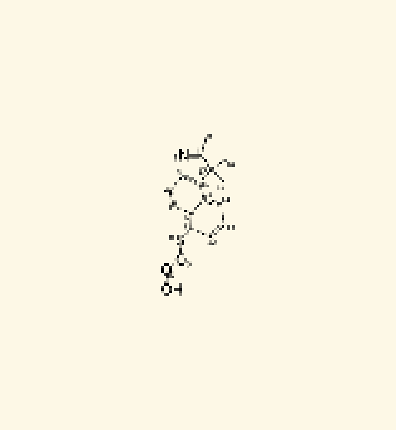 CC1=Nc2ccc3c(SOOO)cccc3c2C1(C)C